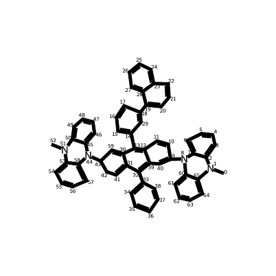 CN1c2ccccc2N(c2ccc3c(-c4cccc(-c5cccc6ccccc56)c4)c4c(c(-c5ccccc5)c3c2)=CCC(N2c3ccccc3N(C)c3ccccc32)C=4)c2ccccc21